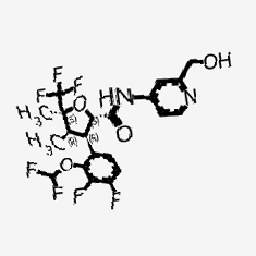 C[C@@H]1[C@H](c2ccc(F)c(F)c2OC(F)F)[C@@H](C(=O)Nc2ccnc(CO)c2)O[C@]1(C)C(F)(F)F